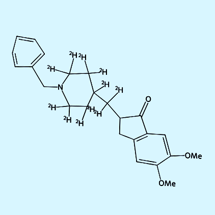 [2H]C([2H])(C1Cc2cc(OC)c(OC)cc2C1=O)C1([2H])C([2H])([2H])C([2H])([2H])N(Cc2ccccc2)C([2H])([2H])C1([2H])[2H]